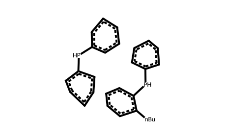 CCCCc1ccccc1Pc1ccccc1.c1ccc(Pc2ccccc2)cc1